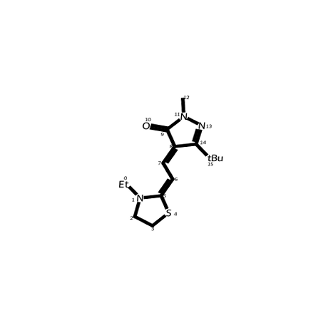 CCN1CCS/C1=C/C=C1/C(=O)N(C)N=C1C(C)(C)C